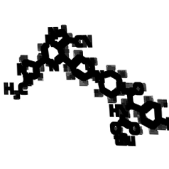 Cn1cc(-c2cn3ncc(C#N)c3c(-c3ccc(N4CCN(C(=O)[C@H](NC(=O)OC(C)(C)C)c5ccc(F)cc5)CC4)nc3)n2)cn1